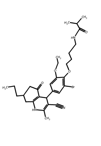 CCCC1CC(=O)C2=C(C1)NC(C)=C(C#N)C2c1cc(Br)c(OCCCCNC(=O)C(C)C)c(OCC)c1